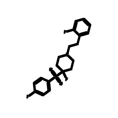 O=S(=O)(c1ccc(F)cc1)C1(F)CCN(CCc2ccccc2F)CC1